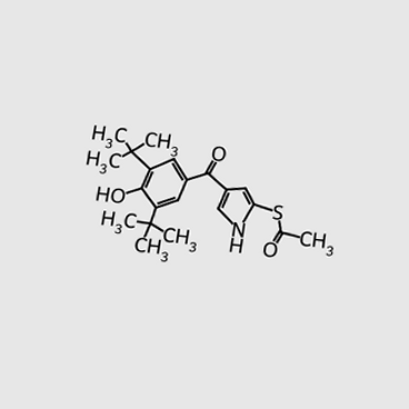 CC(=O)Sc1cc(C(=O)c2cc(C(C)(C)C)c(O)c(C(C)(C)C)c2)c[nH]1